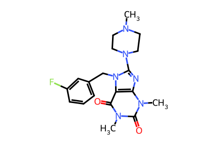 CN1CCN(c2nc3c(c(=O)n(C)c(=O)n3C)n2Cc2cccc(F)c2)CC1